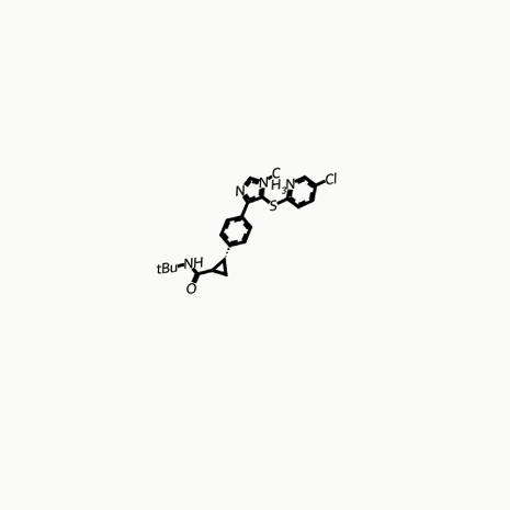 Cn1cnc(-c2ccc([C@@H]3CC3C(=O)NC(C)(C)C)cc2)c1Sc1ccc(Cl)cn1